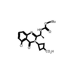 C[C@H](NC(=O)OC(C)(C)C)c1nc2cccc(Cl)c2c(=O)n1C1CC(C(=O)O)C1